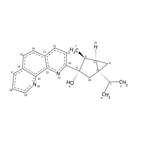 CC(C)[C@@]12C[C@@H]1[C@H](C)[C@](O)(c1ccc3ccc4cccnc4c3n1)C2